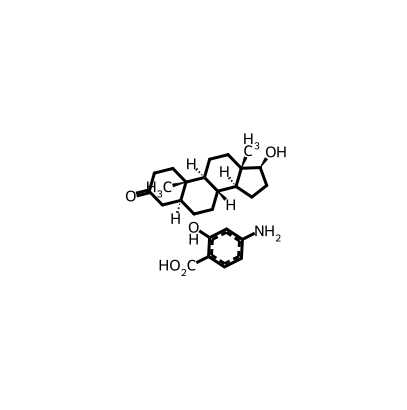 C[C@]12CCC(=O)C[C@@H]1CC[C@@H]1[C@@H]2CC[C@]2(C)[C@@H](O)CC[C@@H]12.Nc1ccc(C(=O)O)c(O)c1